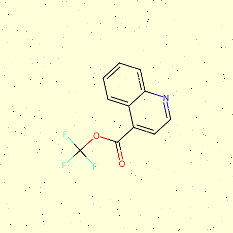 O=C(OC(F)(F)F)c1ccnc2ccccc12